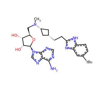 CN(C[C@H]1O[C@@H](n2cnc3c(N)ncnc32)[C@H](O)[C@@H]1O)[C@H]1C[C@@H](CCc2nc3cc(C(C)(C)C)ccc3[nH]2)C1